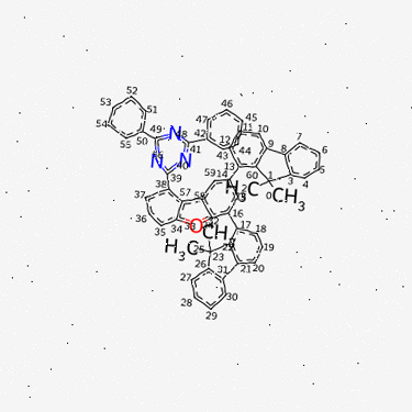 CC1(C)c2ccccc2-c2cccc(-c3cc(-c4cccc5c4C(C)(C)c4ccccc4-5)c4oc5cccc(-c6nc(-c7ccccc7)nc(-c7ccccc7)n6)c5c4c3)c21